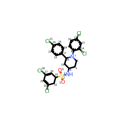 O=S(=O)(NC1CCN(c2ccc(Cl)cc2Cl)C(c2ccc(Cl)cc2)C1)C1C=C(Cl)C=C(Cl)C1